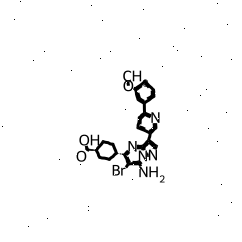 COc1cccc(-c2ccc(-c3cnn4c(N)c(Br)c([C@H]5CC[C@H](C(=O)O)CC5)nc34)cn2)c1